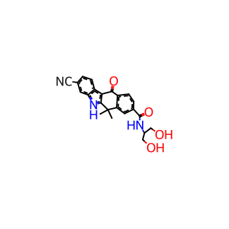 CC1(C)c2cc(C(=O)NC(CO)CO)ccc2C(=O)c2c1[nH]c1cc(C#N)ccc21